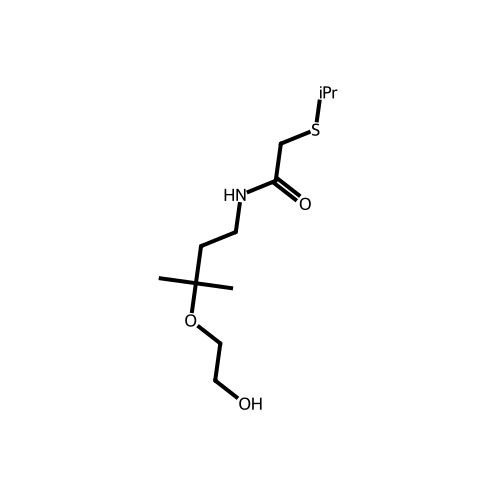 CC(C)SCC(=O)NCCC(C)(C)OCCO